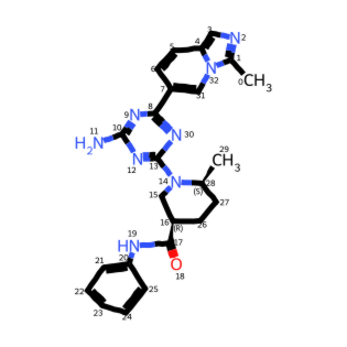 Cc1ncc2ccc(-c3nc(N)nc(N4C[C@H](C(=O)Nc5ccccc5)CC[C@@H]4C)n3)cn12